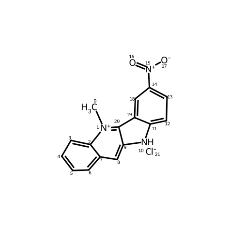 C[n+]1c2ccccc2cc2[nH]c3ccc([N+](=O)[O-])cc3c21.[Cl-]